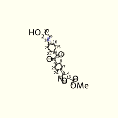 COC(=O)C1CC(c2ccc(C(=O)C(=O)c3ccc(/C=C/C(=O)O)cc3)cc2)=NO1